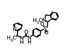 CC(NC(=O)Nc1ccc(S(=O)(=O)CC2c3ccccc3CN2C)cc1)c1ccccn1